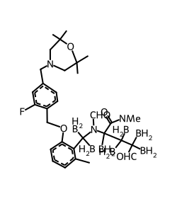 BC(B)(c1c(C)cccc1OCc1ccc(CN2CC(C)(C)OC(C)(C)C2)cc1F)N(C=O)C(B)(C(=O)NC)C(B)(B)C(B)(B)C=O